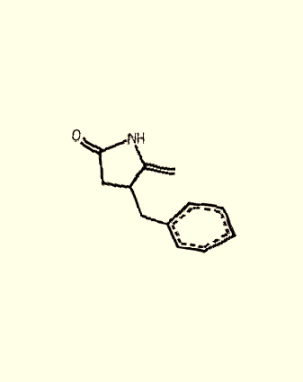 C=C1NC(=O)CC1Cc1ccccc1